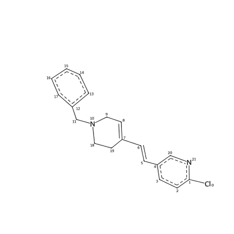 Clc1ccc(C=CC2=CCN(Cc3ccccc3)CC2)cn1